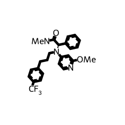 CNC(=O)[C@H](c1ccccc1)N(CCCc1ccc(C(F)(F)F)cc1)c1ccnc(OC)c1